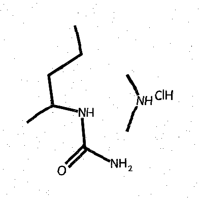 CCCC(C)NC(N)=O.CNC.Cl